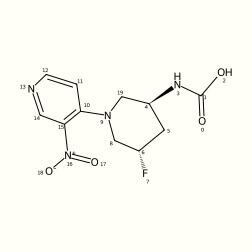 O=C(O)N[C@H]1C[C@H](F)CN(c2ccncc2[N+](=O)[O-])C1